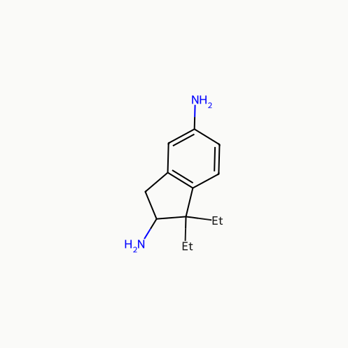 CCC1(CC)c2ccc(N)cc2CC1N